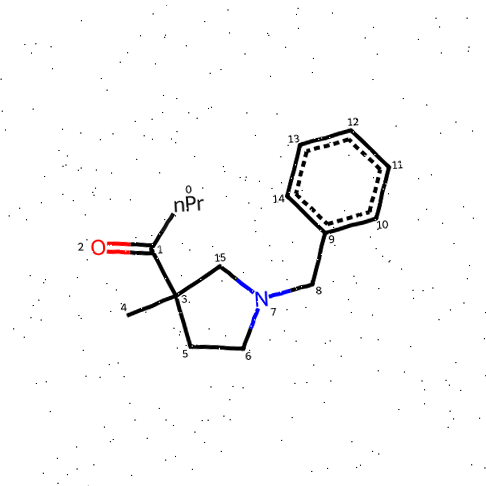 CCCC(=O)C1(C)CCN(Cc2ccccc2)C1